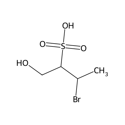 CC(Br)C(CO)S(=O)(=O)O